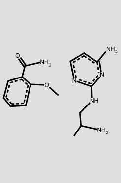 CC(N)CNc1nccc(N)n1.COc1ccccc1C(N)=O